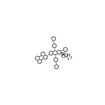 C[Si]1(C)c2ccccc2-c2cc3c(-c4ccc(-c5ccccc5)cc4)c4ccc(-c5ccc6c7cccc8cccc(c9cccc5c96)c87)cc4c(-c4ccc(-c5ccccc5)cc4)c3cc21